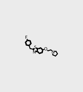 Fc1ccc(Cc2nc3ccc(OCCN4CCCC4)cc3s2)cc1